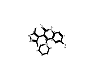 Cc1noc(C)c1-c1c(N2CCCCC2)c2cc(Cl)ccc2[nH]c1=O